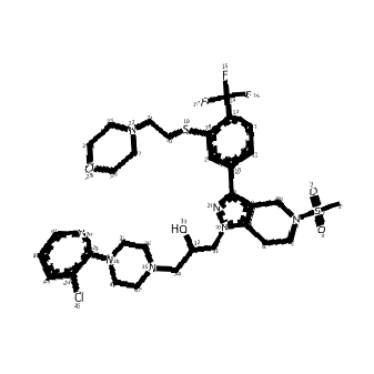 CS(=O)(=O)N1CCc2c(c(-c3ccc(C(F)(F)F)c(SCCN4CCOCC4)c3)nn2CC(O)CN2CCN(c3ncccc3Cl)CC2)C1